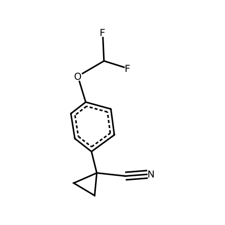 N#CC1(c2ccc(OC(F)F)cc2)CC1